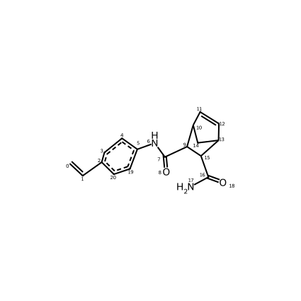 C=Cc1ccc(NC(=O)C2C3C=CC(C3)C2C(N)=O)cc1